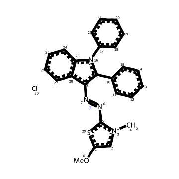 COc1c[n+](C)c(/N=N/c2c(-c3ccccc3)n(-c3ccccc3)c3ccccc23)s1.[Cl-]